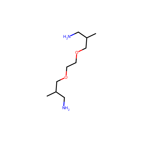 CC(CN)COCCOCC(C)CN